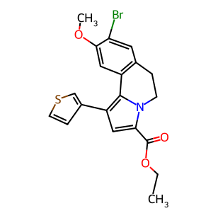 CCOC(=O)c1cc(-c2ccsc2)c2n1CCc1cc(Br)c(OC)cc1-2